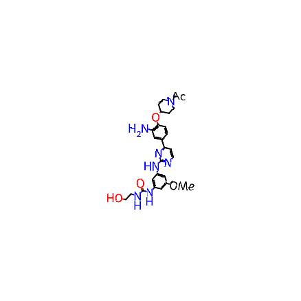 COc1cc(NC(=O)NCCO)cc(Nc2nccc(-c3ccc(OC4CCN(C(C)=O)CC4)c(N)c3)n2)c1